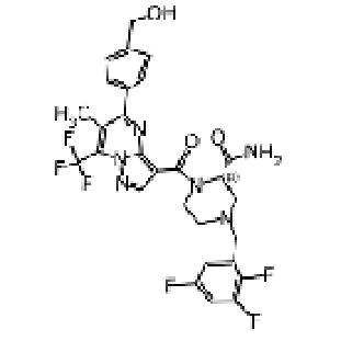 Cc1c(-c2ccc(CO)cc2)nc2c(C(=O)N3CCN(Cc4cc(F)cc(F)c4F)C[C@H]3C(N)=O)cnn2c1C(F)(F)F